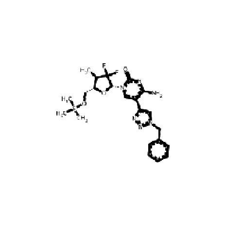 CC1[C@@H](CO[Si](C)(C)C)O[C@@H](n2cc(-c3cn(Cc4ccccc4)nn3)c(N)nc2=O)C1(F)F